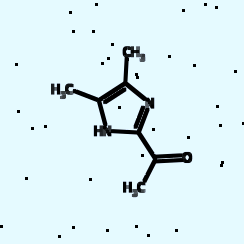 CC(=O)c1nc(C)c(C)[nH]1